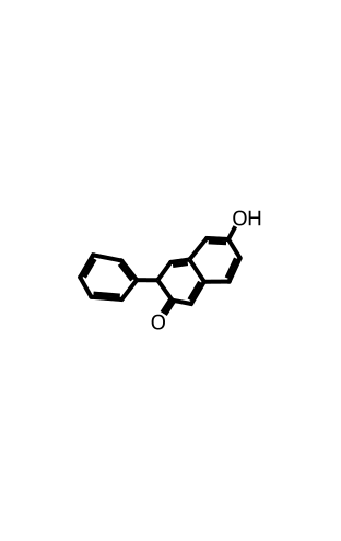 O=C1C=c2ccc(O)cc2=CC1c1ccccc1